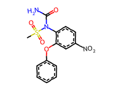 CS(=O)(=O)N(C(N)=O)c1ccc([N+](=O)[O-])cc1Oc1ccccc1